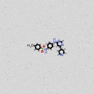 Cc1ccc(S(=O)(=O)Nc2ccc(Nc3cc(-c4ccncc4)ncn3)cc2)cc1